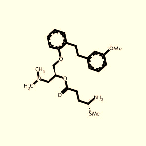 COc1cccc(CCc2ccccc2OC[C@H](CN(C)C)OC(=O)CC[C@H](N)SC)c1